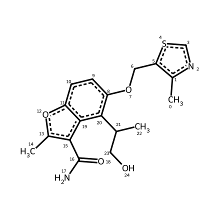 Cc1ncsc1COc1ccc2oc(C)c(C(N)=O)c2c1C(C)CO